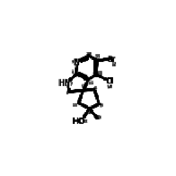 CC1(O)CCC2(CNc3ncc(Br)c(Cl)c32)C1